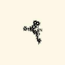 CN1CCC[C@H]1COc1nc2c(c(N3CCN(C(=O)/C=C/CN4CCC(F)C4)[C@@H](CC#N)C3)n1)CCN(c1cccc3cccc(Cl)c13)C2